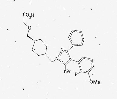 CCCc1c(-c2cccc(OC)c2F)c(-c2ccccc2)nn1C[C@H]1CC[C@H](COCC(=O)O)CC1